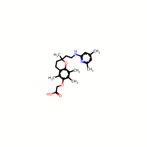 Cc1cc(C)nc(NCCC2(C)CCc3c(C)c(OCC(=O)O)c(C)c(C)c3O2)c1